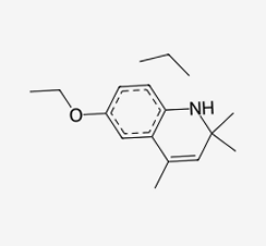 CCC.CCOc1ccc2c(c1)C(C)=CC(C)(C)N2